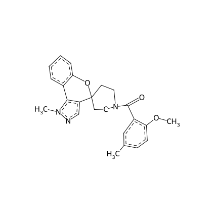 COc1ccc(C)cc1C(=O)N1CCC2(CC1)Oc1ccccc1-c1c2cnn1C